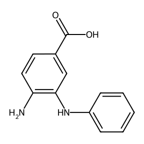 Nc1ccc(C(=O)O)cc1Nc1ccccc1